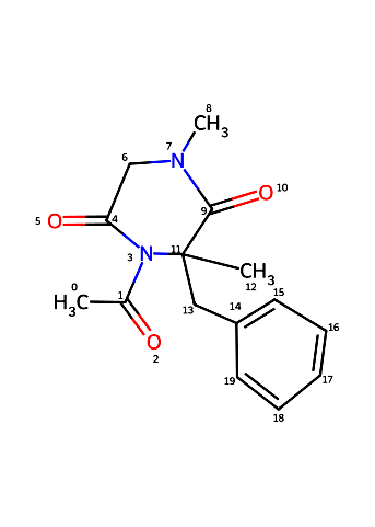 CC(=O)N1C(=O)CN(C)C(=O)C1(C)Cc1ccccc1